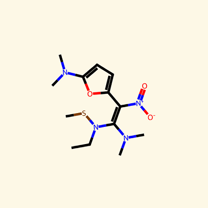 CCN(SC)C(=C(c1ccc(N(C)C)o1)[N+](=O)[O-])N(C)C